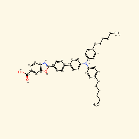 CCCCCCc1ccc(N(c2ccc(CCCCCC)cc2)c2ccc(-c3ccc(-c4nc5ccc(C(=O)O)cc5o4)cc3)cc2)cc1